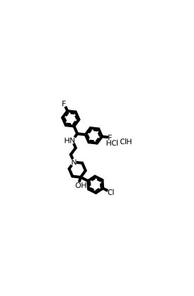 Cl.Cl.OC1(c2ccc(Cl)cc2)CCN(CCNC(c2ccc(F)cc2)c2ccc(F)cc2)CC1